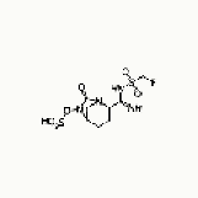 N=C(NS(=O)(=O)CF)C1CCC2CN1C(=O)N2OS(=O)(=O)O